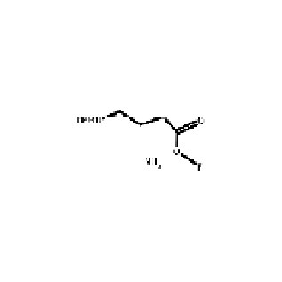 CCCCCCCCC(=O)OF.N